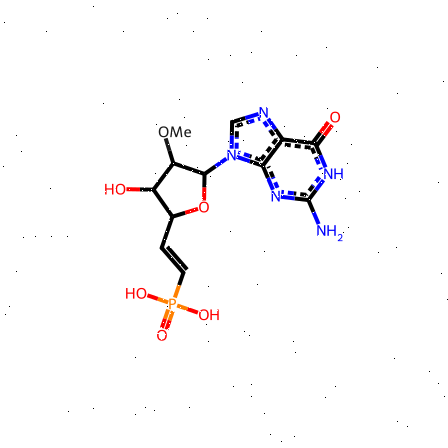 COC1C(O)C(C=CP(=O)(O)O)OC1n1cnc2c(=O)[nH]c(N)nc21